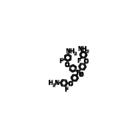 Nc1ccc(Oc2ccc(P(=O)(c3ccc(Oc4ccc(N)cc4F)cc3)c3ccc(Oc4ccc(N)cc4F)cc3)cc2)c(F)c1